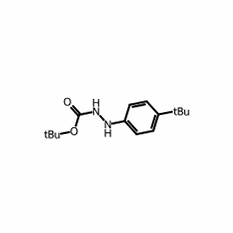 CC(C)(C)OC(=O)NNc1ccc(C(C)(C)C)cc1